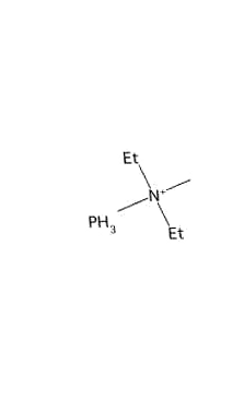 CC[N+](C)(C)CC.P